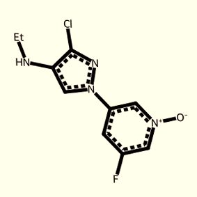 CCNc1cn(-c2cc(F)c[n+]([O-])c2)nc1Cl